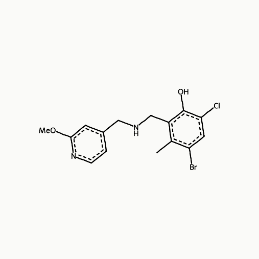 COc1cc(CNCc2c(C)c(Br)cc(Cl)c2O)ccn1